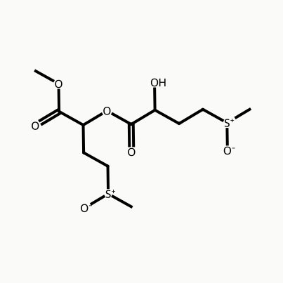 COC(=O)C(CC[S+](C)[O-])OC(=O)C(O)CC[S+](C)[O-]